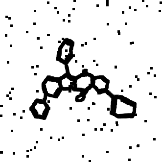 O=c1c2cc(-c3ccccc3)ccc2sc2c(-c3ccccc3)c3ccc(-c4ccccc4)cc3n12